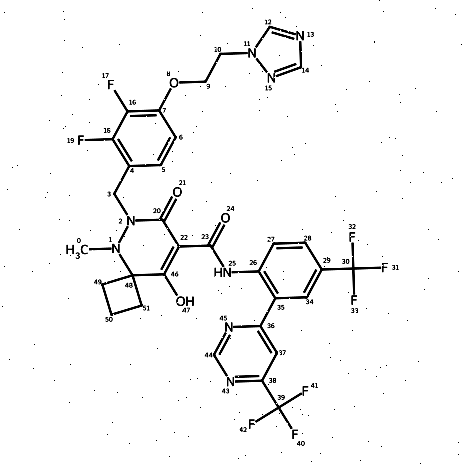 CN1N(Cc2ccc(OCCn3cncn3)c(F)c2F)C(=O)C(C(=O)Nc2ccc(C(F)(F)F)cc2-c2cc(C(F)(F)F)ncn2)=C(O)C12CCC2